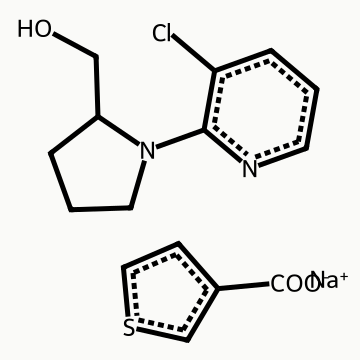 O=C([O-])c1ccsc1.OCC1CCCN1c1ncccc1Cl.[Na+]